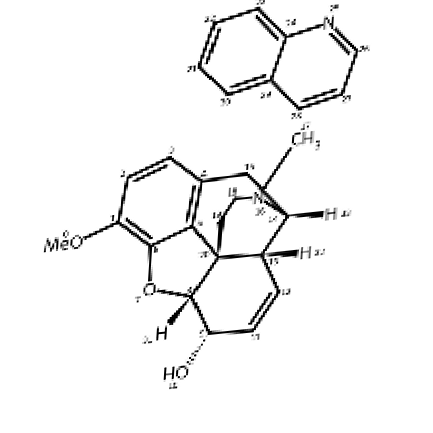 COc1ccc2c3c1O[C@H]1[C@@H](O)C=C[C@H]4[C@@H](C2)N(C)CC[C@@]341.c1ccc2ncccc2c1